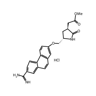 COC(=O)C[C@@H]1C[C@@H](COc2ccc3c(ccc4cc(C(=N)N)ccc43)c2)NC1=O.Cl